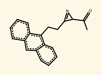 CC(=O)C1N=C1CCc1c2ccccc2cc2ccccc12